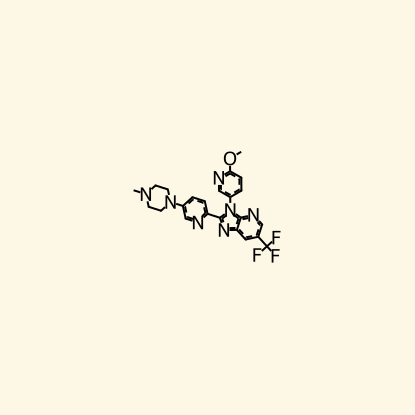 COc1ccc(-n2c(-c3ccc(N4CCN(C)CC4)cn3)nc3cc(C(F)(F)F)cnc32)cn1